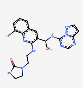 C[C@H](Nc1ncnc2ccnn12)c1cc2cccc(Cl)c2nc1NCCN1CCNC1=O